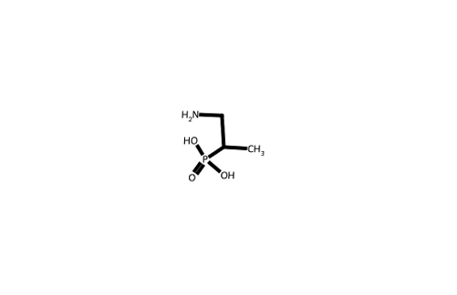 CC(CN)P(=O)(O)O